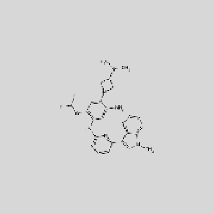 CN(C)C1CN(c2cc(OC(F)F)c(Nc3nccc(-c4cn(C)c5cccnc45)n3)cc2N)C1